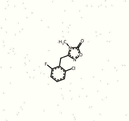 Cn1c(Cc2c(F)cccc2Cl)noc1=O